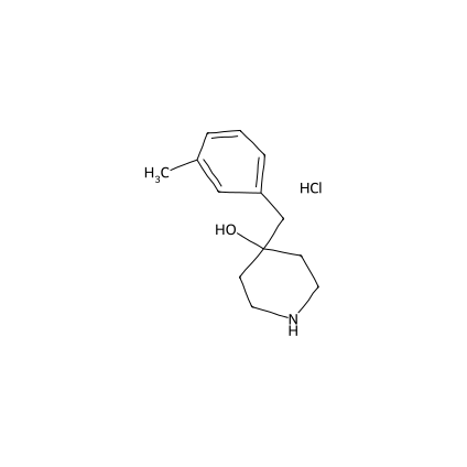 Cc1cccc(CC2(O)CCNCC2)c1.Cl